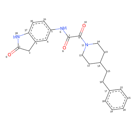 O=C1Cc2cc(NC(=O)C(=O)N3CCC(CCc4ccccc4)CC3)ccc2N1